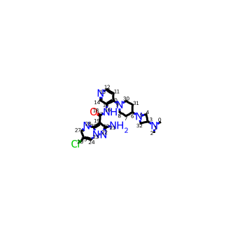 CN(C)C1CN(C2CCN(c3ccncc3NC(=O)c3c(N)nn4cc(Cl)cnc34)CC2)C1